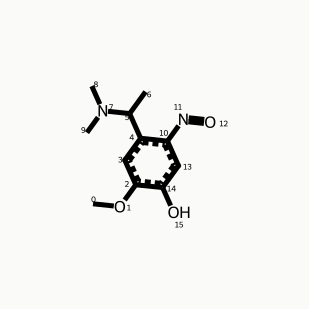 COc1cc(C(C)N(C)C)c(N=O)cc1O